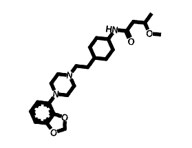 COC(C)CC(=O)NC1CCC(CCN2CCN(c3cccc4c3OCO4)CC2)CC1